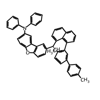 Cc1ccc(-c2ccc(C)c(-c3cccc4cccc([C@H](C)c5ccc6oc7ccc(N(c8ccccc8)c8ccccc8)cc7c6c5)c34)c2)cc1